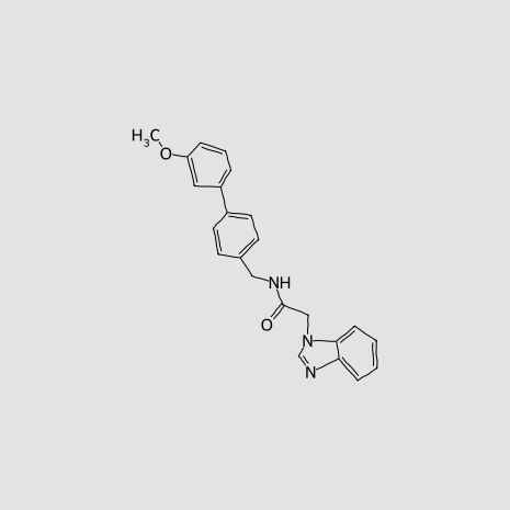 COc1cccc(-c2ccc(CNC(=O)Cn3cnc4ccccc43)cc2)c1